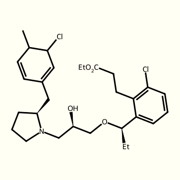 CCOC(=O)CCc1c(Cl)cccc1[C@@H](CC)OC[C@H](O)CN1CCC[C@H]1CC1=CC(Cl)C(C)C=C1